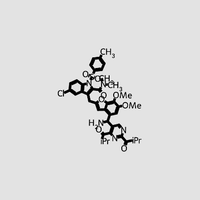 COc1cc(C(N)c2cnc(C(=O)C(C)C)nc2C(=O)C(C)C)c2cc(Cc3c(C(=O)N(C)C)n(S(=O)(=O)c4ccc(C)cc4)c4ccc(Cl)cc34)oc2c1OC